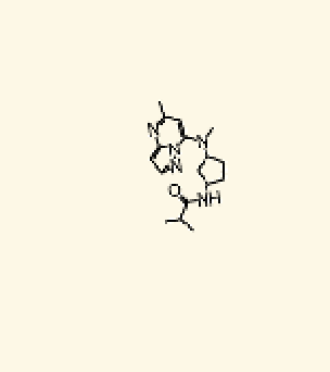 Cc1cc(N(C)[C@H]2CCC(NC(=O)C(C)C)C2)n2nccc2n1